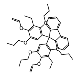 C=COc1c(OCCC)cc(C2(c3cc(OCCC)c(OC=C)c(CC)c3OCCC)c3ccccc3-c3ccccc32)c(OCCC)c1CC